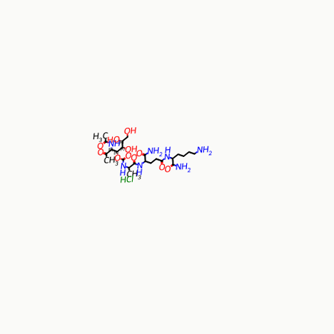 CC(=O)N[C@@H](C(C)=O)[C@@H](OC(=O)NC(C)C(=O)NC(CCC(=O)NC(CCCCN)C(N)=O)C(N)=O)[C@H](O)[C@H](O)CO.Cl